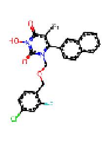 CC(C)c1c(-c2ccc3ccccc3c2)n(COCc2ccc(Cl)cc2F)c(=O)n(O)c1=O